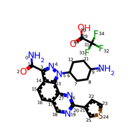 NC(=O)c1nn(C2CCC(N)CC2)c2c1ccc1cnc(-c3ccsc3)nc12.O=C(O)C(F)(F)F